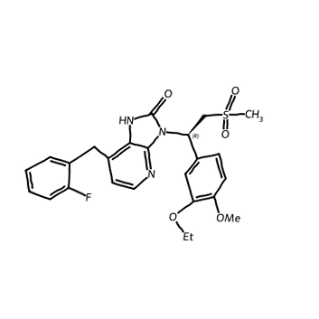 CCOc1cc([C@H](CS(C)(=O)=O)n2c(=O)[nH]c3c(Cc4ccccc4F)ccnc32)ccc1OC